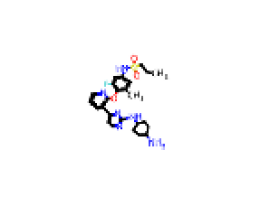 CCCS(=O)(=O)Nc1cc(C)c(Oc2ncccc2-c2ccnc(NC3CCC(N)CC3)n2)c(F)c1